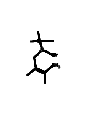 CC([SiH3])=C(C)CN(C(C)C)[Si](C)(C)C